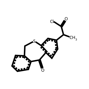 CC(C(=O)Cl)c1ccc2c(c1)SCc1ccccc1C2=O